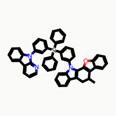 CC1Cc2c(n(-c3cccc([Si](c4ccccc4)(c4ccccc4)c4cccc(-n5c6ccccc6c6cccnc65)c4)c3)c3ccccc23)-c2oc3ccccc3c21